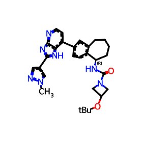 Cn1cc(-c2nc3nccc(-c4ccc5c(c4)CCCC[C@H]5NC(=O)N4CC(OC(C)(C)C)C4)c3[nH]2)cn1